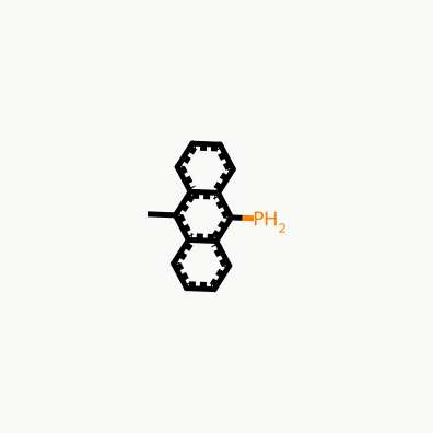 Cc1c2ccccc2c(P)c2ccccc12